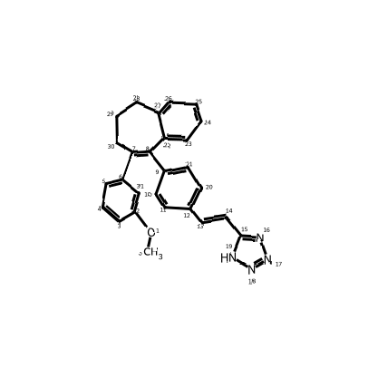 COc1cccc(C2=C(c3ccc(/C=C/c4nnn[nH]4)cc3)c3ccccc3CCC2)c1